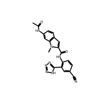 CC(=O)Nc1ccc2cc(C(=O)Nc3ccc(C#N)cc3-c3nnn[nH]3)n(C)c2c1